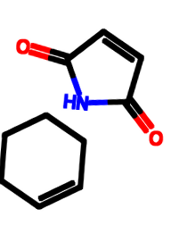 C1=CCCCC1.O=C1C=CC(=O)N1